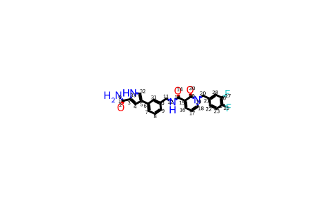 NC(=O)c1cc(-c2cccc(CNC(=O)c3cccn(Cc4ccc(F)c(F)c4)c3=O)c2)c[nH]1